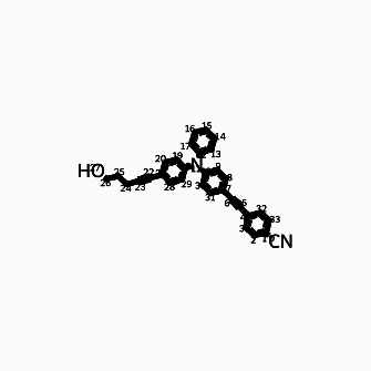 N#Cc1ccc(C#Cc2ccc(N(c3ccccc3)c3ccc(C#CCCCO)cc3)cc2)cc1